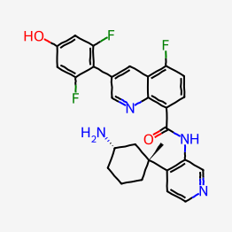 C[C@@]1(c2ccncc2NC(=O)c2ccc(F)c3cc(-c4c(F)cc(O)cc4F)cnc23)CCC[C@H](N)C1